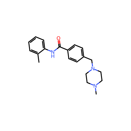 Cc1ccccc1NC(=O)c1ccc(CN2CCN(C)CC2)cc1